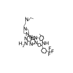 CCCN(C)CCCN1CCN(c2nc(N)c3ncnc(Nc4cc(NC(=O)c5cccc(C(F)(F)F)c5)ccc4C)c3n2)CC1